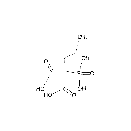 CCCC(C(=O)O)(C(=O)O)P(=O)(O)O